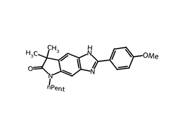 CCCCCN1C(=O)C(C)(C)c2cc3[nH]c(-c4ccc(OC)cc4)nc3cc21